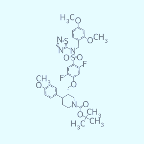 COc1ccc(C2CCN(C(=O)OC(C)(C)C)C[C@H]2COc2cc(F)c(S(=O)(=O)N(Cc3ccc(OC)cc3OC)c3ncns3)cc2F)cc1